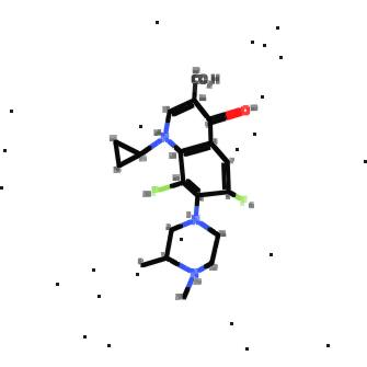 CC1CN(c2c(F)cc3c(=O)c(C(=O)O)cn(C4CC4)c3c2F)CCN1C